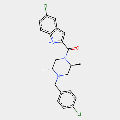 C[C@@H]1CN(C(=O)c2cc3cc(Cl)ccc3[nH]2)[C@@H](C)CN1Cc1ccc(Cl)cc1